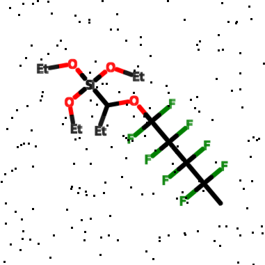 CCO[Si](OCC)(OCC)C(CC)OC(F)(F)C(F)(F)C(F)(F)C(C)(F)F